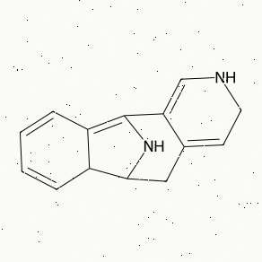 C1=CC2=C3NC(CC4=CCNC=C43)C2C=C1